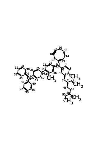 C=CC(/C=C/C=C(\C=C/CC)N(/C1=C/C=C\CC#CC1)c1ccc(C2C=CC(N(c3ccccc3)c3ccccc3)=CC2)c(C)c1)=C\CC(C)CC